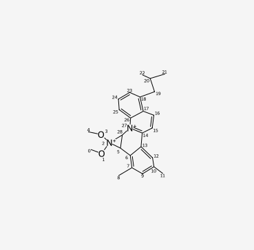 CO[N+]1(OC)C2c3c(C)cc(C)cc3-c3ccc4c(CC(C)C)cccc4[n+]3C21